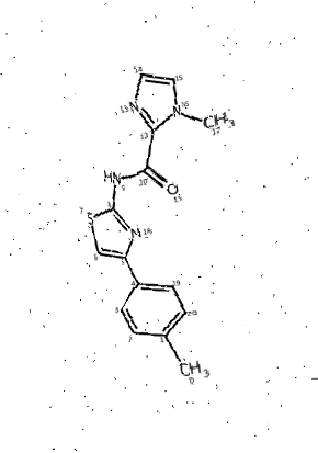 Cc1ccc(-c2csc(NC(=O)c3nccn3C)n2)cc1